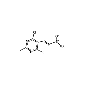 Cc1nc(Cl)c(/C=N/[S+]([O-])C(C)(C)C)c(Cl)n1